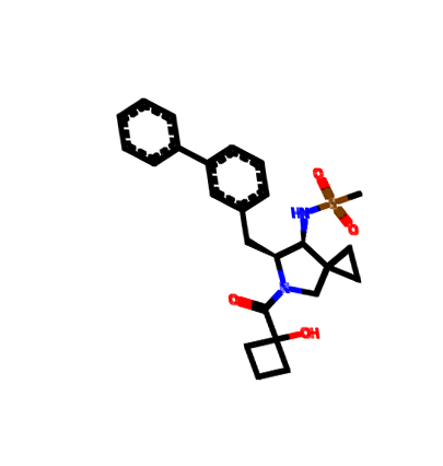 CS(=O)(=O)N[C@@H]1[C@H](Cc2cccc(-c3ccccc3)c2)N(C(=O)C2(O)CCC2)CC12CC2